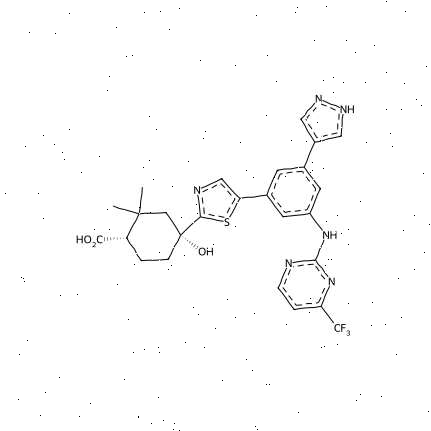 CC1(C)C[C@@](O)(c2ncc(-c3cc(Nc4nccc(C(F)(F)F)n4)cc(-c4cn[nH]c4)c3)s2)CC[C@@H]1C(=O)O